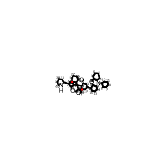 C1=CC2=C(CC1)N(c1ccccc1)c1cccc(C3C=CC4C(C3)OC3=CCCC=C3C43C4=C(CC(C5CCCCN5)C=C4)Oc4ccccc43)c1O2